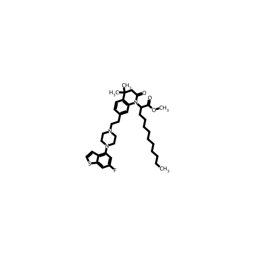 CCCCCCCCCCC(C(=O)OC)N1C(=O)CC(C)(C)c2ccc(CCN3CCN(c4cc(F)cc5sccc45)CC3)cc21